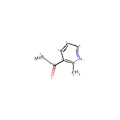 CNC(=O)c1[c]ccnc1C